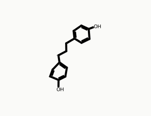 Oc1ccc([CH]CCc2ccc(O)cc2)cc1